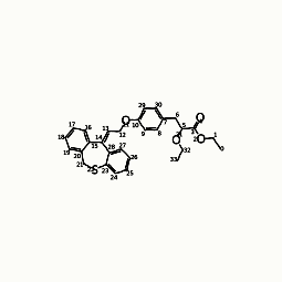 CCOC(=O)C(Cc1ccc(OCC=C2c3ccccc3CSc3ccccc32)cc1)OCC